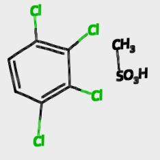 CS(=O)(=O)O.Clc1ccc(Cl)c(Cl)c1Cl